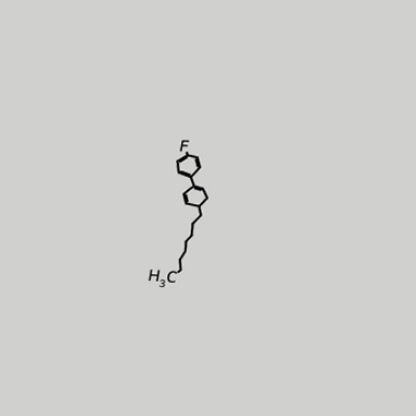 CCCCCCCCC1C=CC(c2ccc(F)cc2)=CC1